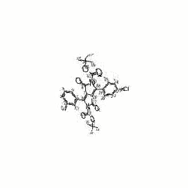 Cc1cccc(C2=C3C(=O)N(C(=O)OC(C)(C)C)C(c4ccc(Cl)cc4)=C3C(=O)N2C(=O)OC(C)(C)C)c1